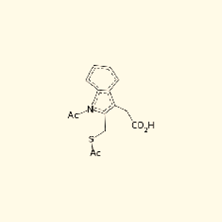 CC(=O)SCc1c(CC(=O)O)c2ccccc2n1C(C)=O